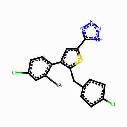 CC(C)c1cc(Cl)ccc1-c1cc(-c2nnn[nH]2)sc1Cc1ccc(Cl)cc1